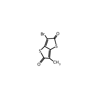 CC1=C2SC(=O)C(Br)=C2SC1=O